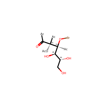 CC(=O)O[C@@](C(C)=O)(C(=O)C(C)=O)[C@](OBr)(C(C)=O)[C@H](O)[C@H](O)CO